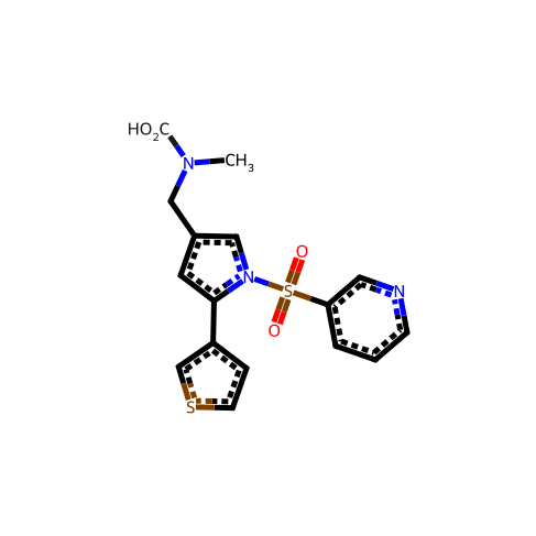 CN(Cc1cc(-c2ccsc2)n(S(=O)(=O)c2cccnc2)c1)C(=O)O